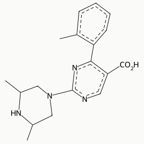 Cc1ccccc1-c1nc(N2CC(C)NC(C)C2)ncc1C(=O)O